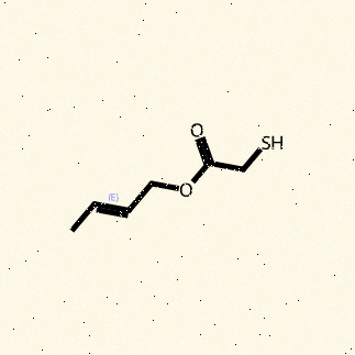 C/C=C/COC(=O)CS